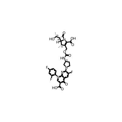 C[C@@H](O)[C@@H]1C(=O)N2C(C(=O)O)=C(COC(=O)N[C@H]3CCN(c4nc5c(cc4F)c(=O)c(C(=O)O)cn5-c4ccc(F)cc4F)C3)[C@H](C)[C@H]12